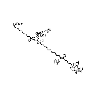 CCCCCCCC/C=C\CCCCCCCC(=O)OCC(COP(=O)(O)OCC[N+](C)(C)C)OC(=O)CCCCCCCCCCC(N)C(=O)CCCC[C@@H]1SC[C@@H]2NC(=O)N[C@@H]21